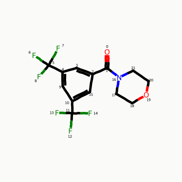 O=C(c1cc(C(F)(F)F)cc(C(F)(F)F)c1)N1CCOCC1